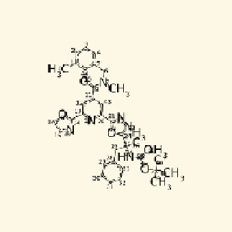 Cc1cccc(CN(C)C(=O)c2cc(-c3ncco3)nc(-c3nnc(C(C)(Cc4ccccc4)NC(=O)OC(C)(C)C)o3)c2)c1